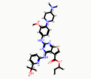 CCC(C)OC(=O)c1csc2nc(Nc3ccc(N4CCC(N(C)C)CC4)c(OC)c3)nc(Nc3cccc(C(C)(C)O)n3)c12